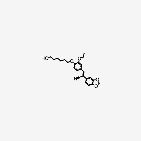 CCOc1cc(C=C(C#N)c2ccc3c(c2)OCO3)ccc1OCCCCCCO